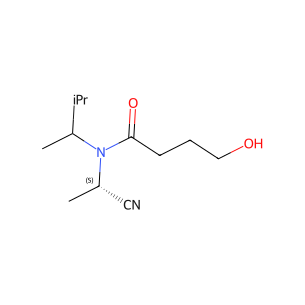 CC(C)C(C)N(C(=O)CCCO)[C@@H](C)C#N